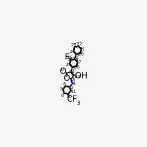 O=C1O/C(=C\c2cccc(C(F)(F)F)c2)C(O)=C1c1ccc(-c2ccccc2)c(F)c1